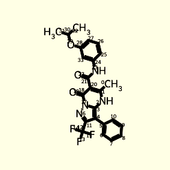 Cc1[nH]c2c(-c3ccccc3)c(C(F)(F)F)nn2c(=O)c1C(=O)Nc1cccc(OC(C)C)c1